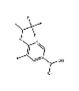 CC(Oc1ncc(B(O)O)cc1F)C(F)(F)F